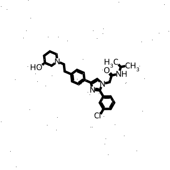 CC(C)NC(=O)Cn1cc(-c2ccc(CCN3CCCC(O)C3)cc2)nc1-c1cccc(Cl)c1